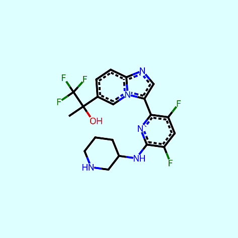 CC(O)(c1ccc2ncc(-c3nc(NC4CCCNC4)c(F)cc3F)n2c1)C(F)(F)F